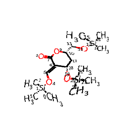 C[Si](C)(C)O/C=C1/C(=O)O[C@H](CO[Si](C)(C)C)C[C@@H]1O[Si](C)(C)C